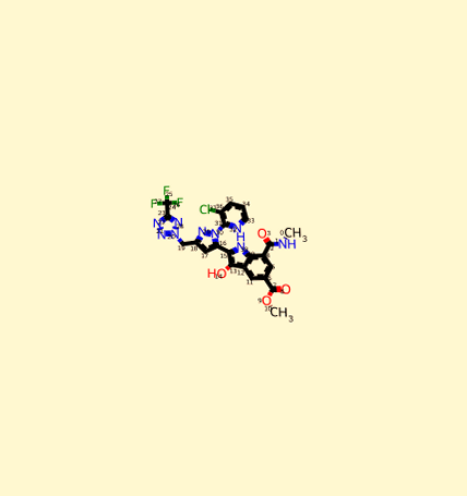 CNC(=O)c1cc(C(=O)OC)cc2c(O)c(-c3cc(Cn4nnc(C(F)(F)F)n4)nn3-c3ncccc3Cl)[nH]c12